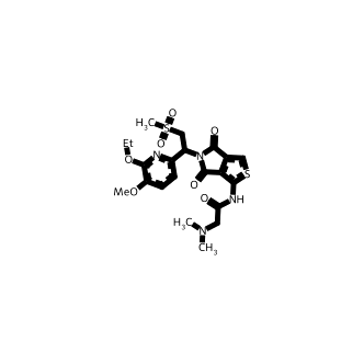 CCOc1nc(C(CS(C)(=O)=O)N2C(=O)c3csc(NC(=O)CN(C)C)c3C2=O)ccc1OC